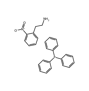 NCCc1ccccc1[N+](=O)[O-].c1ccc(P(c2ccccc2)c2ccccc2)cc1